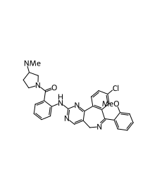 CNC1CCN(C(=O)c2ccccc2Nc2ncc3c(n2)-c2ccc(Cl)cc2C(c2ccccc2OC)=NC3)C1